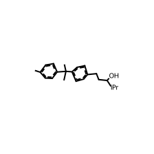 Cc1ccc(C(C)(C)c2ccc(CCC(O)C(C)C)cc2)cc1